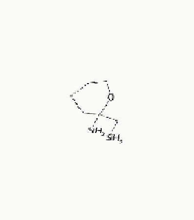 [SiH3]CC1([SiH3])CCCCO1